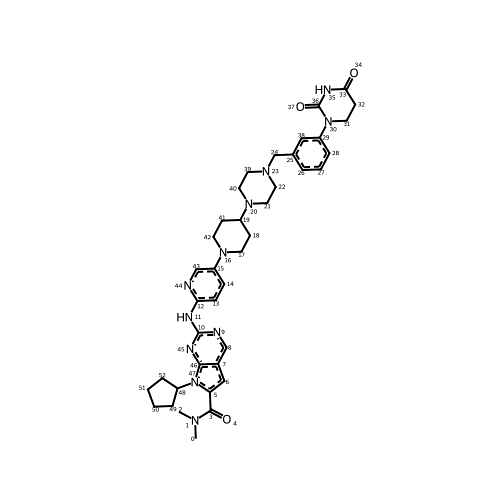 CN(C)C(=O)c1cc2cnc(Nc3ccc(N4CCC(N5CCN(Cc6cccc(N7CCC(=O)NC7=O)c6)CC5)CC4)cn3)nc2n1C1CCCC1